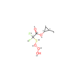 CC1CC1OC(=O)C(F)(F)SOOO